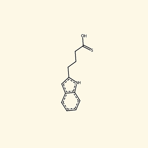 OC(=S)CCCc1cc2ccccc2[nH]1